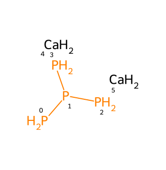 PP(P)P.[CaH2].[CaH2]